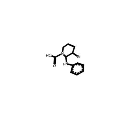 O=C(O)N1CCCC(Br)C1Nc1ccccc1